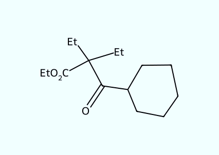 CCOC(=O)C(CC)(CC)C(=O)C1CCCCC1